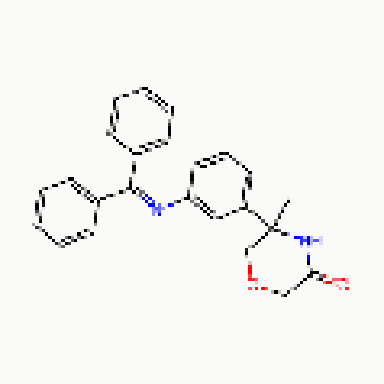 CC1(c2cccc(N=C(c3ccccc3)c3ccccc3)c2)COCC(=O)N1